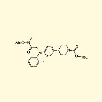 CON(C)C(=O)C[C@H](c1ccc(C2CCN(C(=O)OC(C)(C)C)CC2)cc1)c1ccccc1C